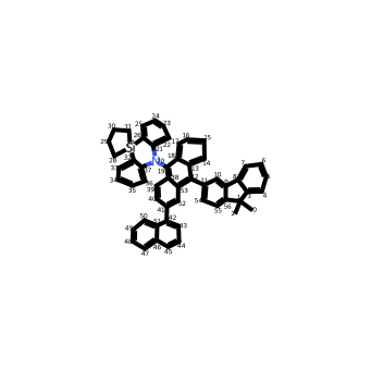 CC1(C)c2ccccc2-c2cc(-c3c4ccccc4c(N4c5ccccc5[Si]5(CCCC5)c5ccccc54)c4ccc(-c5cccc6ccccc56)cc34)ccc21